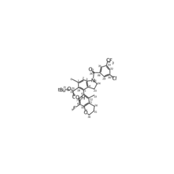 Cc1cc2c(c(-c3cc(F)c4c(c3C)CCCO4)c1[C@H](OC(C)(C)C)C(=O)O)CCN2C(=O)c1cc(Cl)cc(C(F)(F)F)c1